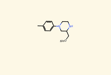 COCC1CN(c2ccc(C)cc2)CCN1